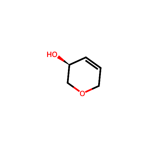 O[C@H]1C=CCOC1